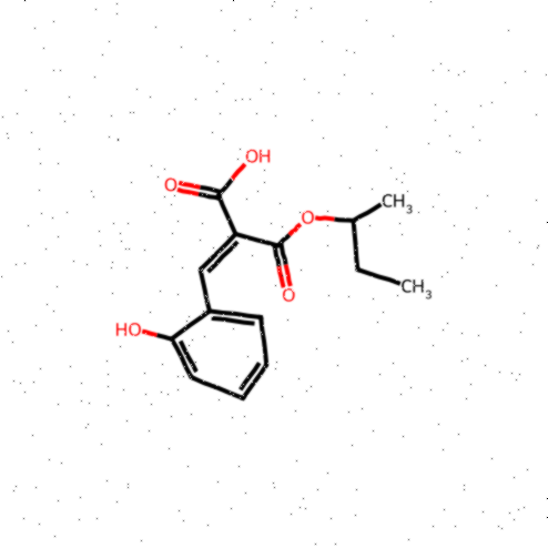 CCC(C)OC(=O)C(=Cc1ccccc1O)C(=O)O